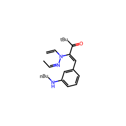 C=CN(/N=C\C)/C(=C\c1cccc(NCCCC)c1)C(=O)C(C)(C)C